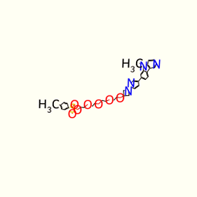 Cc1ccc(S(=O)(=O)OCCOCCOCCOCCOC2CN(c3ccc(-c4ccc5c6cnccc6n(C)c5c4)cn3)C2)cc1